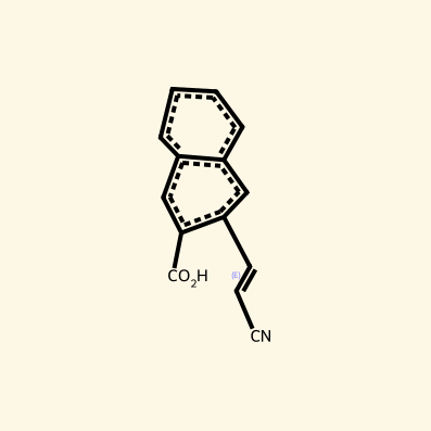 N#C/C=C/c1cc2ccccc2cc1C(=O)O